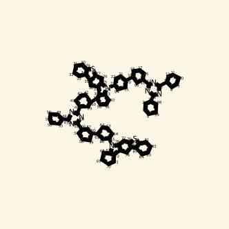 c1ccc(-c2nc(-c3ccccc3)nc(-c3cccc(-c4ccc(-n5c6cc7sc8ccccc8c7cc6c6c(-c7cccc(-c8nc(-c9ccccc9)nc(-c9cccc(-c%10cccc(-n%11c%12ccccc%12c%12cc%13c(cc%12%11)sc%11ccccc%11%13)c%10)c9)n8)c7)cccc65)cc4)c3)n2)cc1